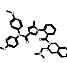 COc1ccc(N(C(=O)c2cc(C)n(-c3ccccc3C(=O)N3Cc4ccccc4C[C@H]3CN(C)C)c2)c2ccc(OC)cc2)cc1